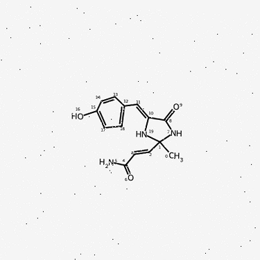 CC1(C=CC(N)=O)NC(=O)C(=Cc2ccc(O)cc2)N1